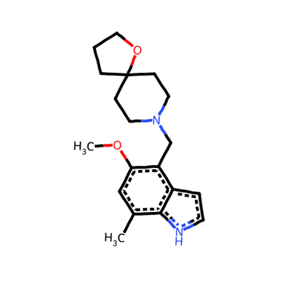 COc1cc(C)c2[nH]ccc2c1CN1CCC2(CCCO2)CC1